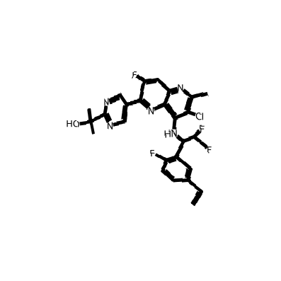 C=Cc1ccc(F)c(C(Nc2c(Cl)c(C)nc3cc(F)c(-c4cnc(C(C)(C)O)nc4)nc23)C(F)F)c1